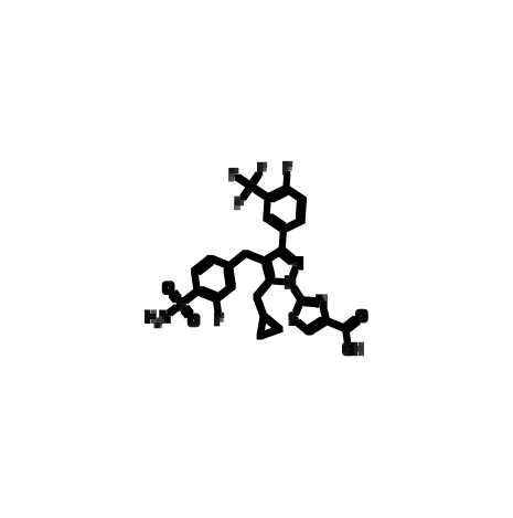 NS(=O)(=O)c1ccc(Cc2c(-c3ccc(F)c(C(F)(F)F)c3)nn(-c3nc(C(=O)O)cs3)c2CC2CC2)cc1F